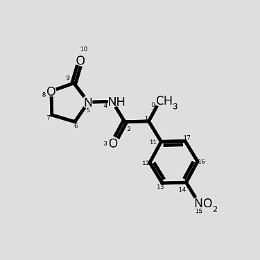 CC(C(=O)NN1CCOC1=O)c1ccc([N+](=O)[O-])cc1